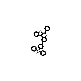 O=P(c1ccccc1)(c1ccccc1)c1ccc(-c2ccc3nc(-c4ccccc4)c4oc5ccccc5c4c3c2)cc1